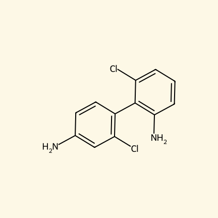 Nc1ccc(-c2c(N)cccc2Cl)c(Cl)c1